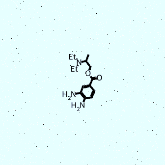 CCN(CC)C(C)COC(=O)c1ccc(N)c(N)c1